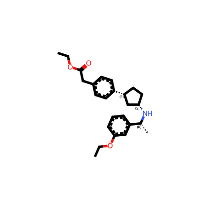 CCOC(=O)Cc1ccc([C@@H]2CC[C@H](N[C@H](C)c3cccc(OCC)c3)C2)cc1